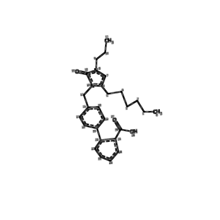 CCCCCCc1cn(CCC)c(=O)n1Cc1ccc(-c2ccccc2C(=O)O)cc1